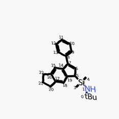 CC(C)(C)N[Si](C)(C)C1C=C(c2ccccc2)c2cc3c(cc21)CCC3